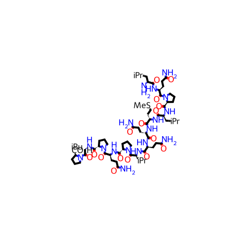 CC[C@H](C)[C@H](NC(=O)[C@@H]1CCCN1C(=O)[C@H](CCC(N)=O)NC(=O)[C@@H]1CCCN1C(=O)[C@@H](NC(=O)[C@H](CCC(N)=O)NC(=O)[C@H](CCC(N)=O)NC(=O)[C@H](CCSC)NC(=O)[C@H](CC(C)C)NC(=O)[C@@H]1CCCN1C(=O)[C@H](CCC(N)=O)NC(=O)[C@@H](N)CC(C)C)C(C)C)C(=O)N1CCC[C@H]1C(=O)O